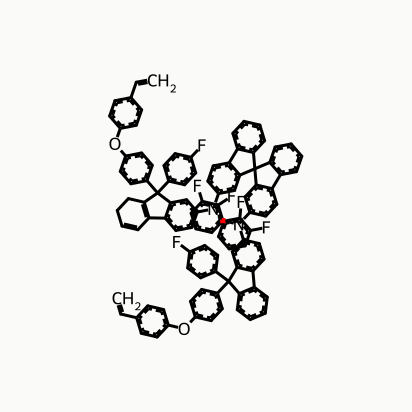 C=Cc1ccc(Oc2ccc(C3(c4ccc(F)cc4)C4=C(C=CCC4)c4ccc(N(c5ccc6c(c5)C5(c7ccccc7-6)c6ccccc6-c6ccc(N(c7ccc8c(c7)C(c7ccc(F)cc7)(c7ccc(Oc9ccc(C=C)cc9)cc7)c7ccccc7-8)c7cccc(F)c7F)cc65)c5cccc(F)c5F)cc43)cc2)cc1